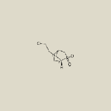 O=S1(=O)CC2C[C@H]1CN2CCCl